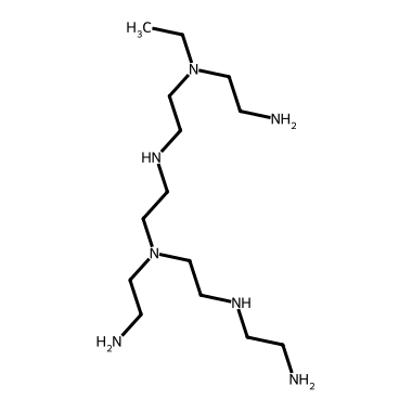 CCN(CCN)CCNCCN(CCN)CCNCCN